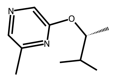 Cc1cncc(O[C@H](C)C(C)C)n1